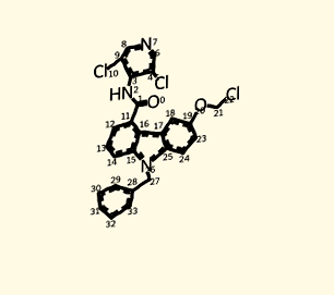 O=C(Nc1c(Cl)cncc1Cl)c1cccc2c1c1cc(OCCl)ccc1n2Cc1ccccc1